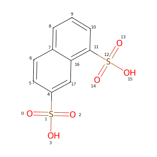 O=S(=O)(O)c1[c]cc2cccc(S(=O)(=O)O)c2c1